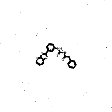 O=C(Cc1ccccc1)NC(=S)Nc1cccc(-c2nc3ncccc3o2)c1